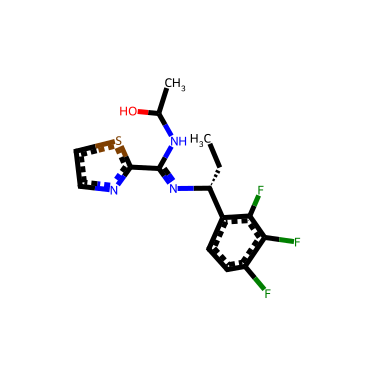 CC[C@@H](/N=C(\NC(C)O)c1nccs1)c1ccc(F)c(F)c1F